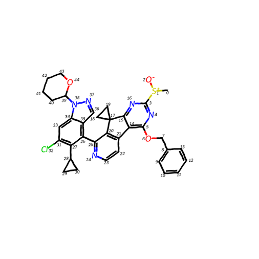 C[S+]([O-])c1nc(OCc2ccccc2)c2c(n1)C1(CC1)c1c-2ccnc1-c1c(C2CC2)c(Cl)cc2c1cnn2C1CCCCO1